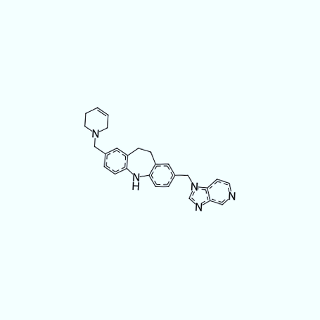 C1=CCN(Cc2ccc3c(c2)CCc2cc(Cn4cnc5cnccc54)ccc2N3)CC1